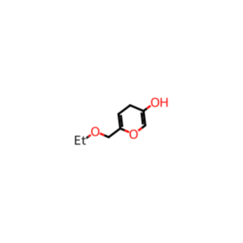 CCOCC1=CCC(O)=CO1